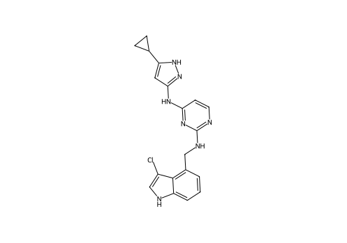 Clc1c[nH]c2cccc(CNc3nccc(Nc4cc(C5CC5)[nH]n4)n3)c12